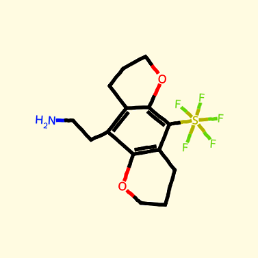 NCCc1c2c(c(S(F)(F)(F)(F)F)c3c1OCCC3)OCCC2